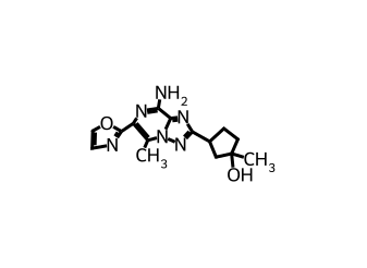 Cc1c(-c2ncco2)nc(N)c2nc(C3CCC(C)(O)C3)nn12